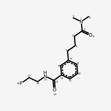 CN(C)C(=O)CCCc1cccc(C(=O)NCCF)c1